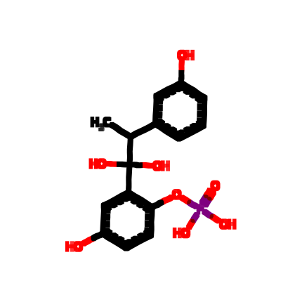 CC(c1cccc(O)c1)C(O)(O)c1cc(O)ccc1OP(=O)(O)O